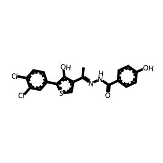 C/C(=N\NC(=O)c1ccc(O)cc1)c1csc(-c2ccc(Cl)c(Cl)c2)c1O